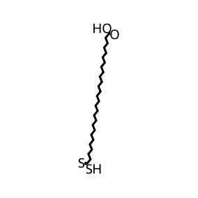 O=C(O)CCCCCCCCCCCCCCCCCCCCCCCCCCC(=S)S